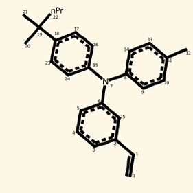 C=Cc1cccc(N(c2ccc(C)cc2)c2ccc(C(C)(C)CCC)cc2)c1